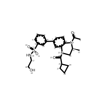 CC(=O)N1c2ccc(-c3cccc(S(=O)(=O)NCCO)c3)cc2N(C(=O)C2CCC2)C[C@@H]1C